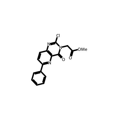 COC(=O)Cn1c(Cl)nc2ccc(-c3ccccc3)nc2c1=O